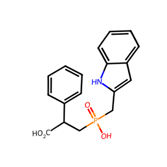 O=C(O)C(CP(=O)(O)Cc1cc2ccccc2[nH]1)c1ccccc1